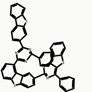 c1ccc(-c2nc(-c3ccc4c(c3)sc3ccccc34)nc(-c3cccc4sc5ccc(-c6nc(-c7ccccc7)c7sc8ccccc8c7n6)cc5c34)n2)cc1